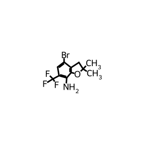 CC1(C)Cc2c(Br)cc(C(F)(F)F)c(N)c2O1